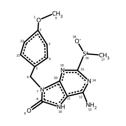 COc1ccc(Cn2c(=O)[nH]c3c(N)nc([S+](C)[O-])nc32)cc1